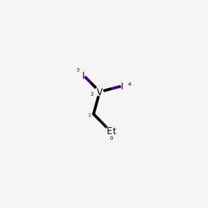 CC[CH2][V]([I])[I]